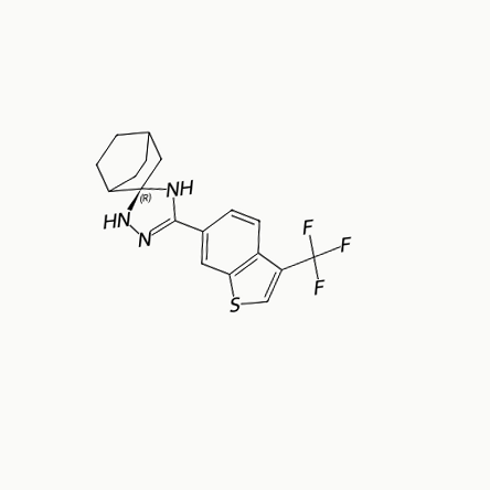 FC(F)(F)c1csc2cc(C3=NN[C@@]4(CC5CCC4CC5)N3)ccc12